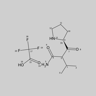 CC(C)C(C(N)=O)C(=O)[C@@H]1CCCN1.O=C(O)C(F)(F)F